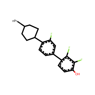 CCCC1CCC(c2ccc(-c3ccc(O)c(F)c3F)cc2F)CC1